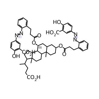 CC(CCC(=O)O)C1CCC2C3C(CCC12C)C1(C)CCC(OC(=O)CCc2ccccc2/N=N/c2ccc(O)c(C(=O)O)c2)CC1C[C@@H]3OC(=O)CCc1ccccc1/N=N/c1ccc(O)c(C(=O)O)c1